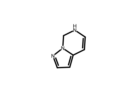 C1=Cc2ccnn2CN1